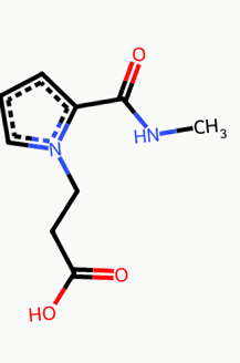 CNC(=O)c1cccn1CCC(=O)O